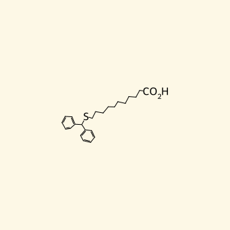 O=C(O)CCCCCCCCCCSC(c1ccccc1)c1ccccc1